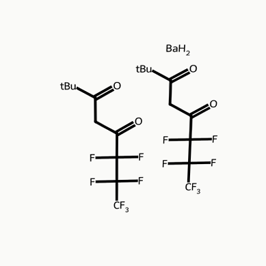 CC(C)(C)C(=O)CC(=O)C(F)(F)C(F)(F)C(F)(F)F.CC(C)(C)C(=O)CC(=O)C(F)(F)C(F)(F)C(F)(F)F.[BaH2]